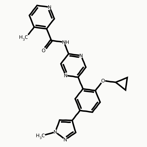 Cc1ccncc1C(=O)Nc1cnc(-c2cc(-c3cnn(C)c3)ccc2OC2CC2)cn1